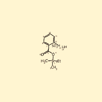 CC[Si](C)(C)OC(=O)c1ccccc1S(=O)(=O)O.[LiH]